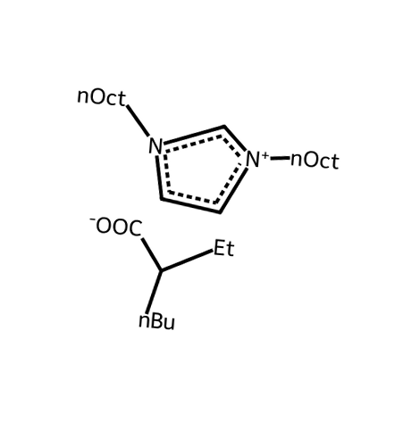 CCCCC(CC)C(=O)[O-].CCCCCCCCn1cc[n+](CCCCCCCC)c1